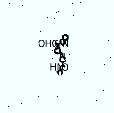 O=CN(c1cccc(CN2CCC(C(=O)NC3CCCC3)CC2)c1)c1cnc2ccccc2c1